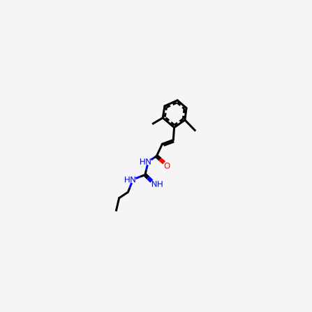 CCCNC(=N)NC(=O)C=Cc1c(C)cccc1C